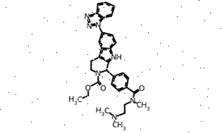 CCOC(=O)N1CCc2c([nH]c3ccc(-n4nnc5ccccc54)cc23)C1c1ccc(C(=O)N(C)CCN(C)C)cc1